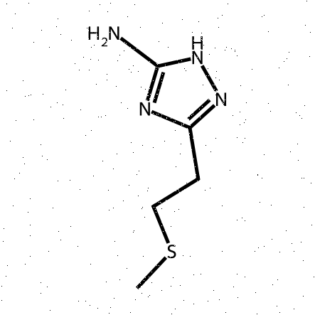 CSCCc1n[nH]c(N)n1